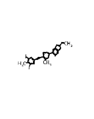 CCC1=Cc2cc(-c3ccc(C#Cc4cc(I)c(C)c(I)c4)c(C)c3)ccc2C1